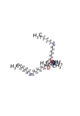 CCCCCCCC/C=C\CCCCCCCC(=O)C(C)(C[N+](C)(C)C)C(=O)CCCCCCC/C=C\CCCCCCCC